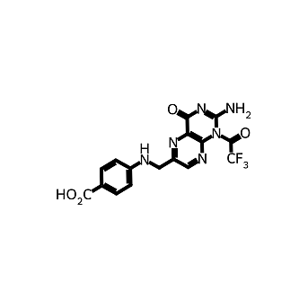 Nc1nc(=O)c2nc(CNc3ccc(C(=O)O)cc3)cnc2n1C(=O)C(F)(F)F